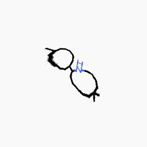 CC1CCCCCC(C2CCCCCC(C)(C)CCCCN2)CCCCC1